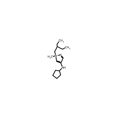 CCC(CC)C[N+]1(C)C=C(NC2CCCC2)C=N1